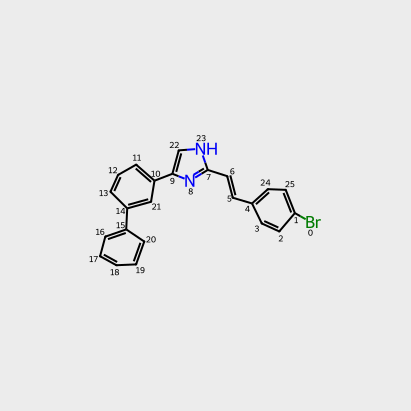 Brc1ccc(/C=C/c2nc(-c3cccc(-c4ccccc4)c3)c[nH]2)cc1